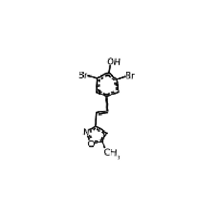 Cc1cc(C=Cc2cc(Br)c(O)c(Br)c2)no1